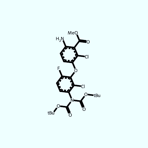 COC(=O)c1c(N)ccc(Oc2c(F)ccc(N(C(=O)OC(C)(C)C)C(=O)OC(C)(C)C)c2Cl)c1Cl